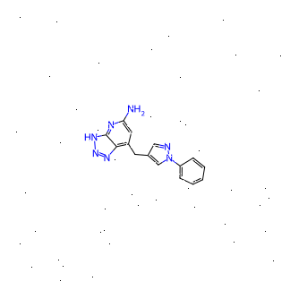 Nc1cc(Cc2cnn(-c3ccccc3)c2)c2nn[nH]c2n1